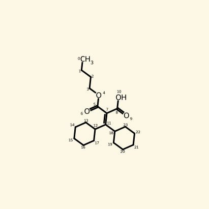 CCCCOC(=O)C(C(=O)O)=C(C1CCCCC1)C1CCCCC1